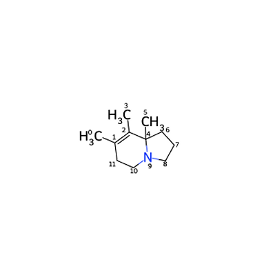 CC1=C(C)C2(C)CCCN2CC1